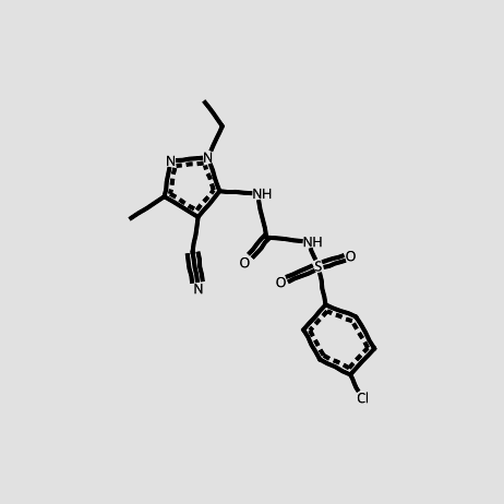 CCn1nc(C)c(C#N)c1NC(=O)NS(=O)(=O)c1ccc(Cl)cc1